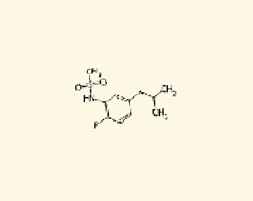 CC(C)Cc1ccc(F)c(NS(C)(=O)=O)c1